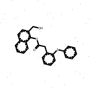 O=C(Cc1ccccc1Sc1ccccc1)Oc1c(CO)ccc2ccccc12